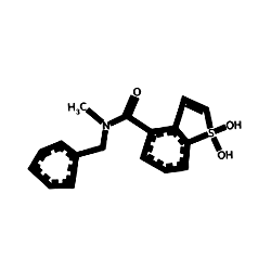 CN(Cc1ccccc1)C(=O)c1cccc2c1C=CS2(O)O